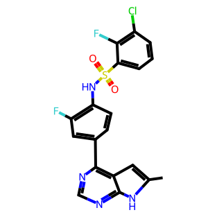 Cc1cc2c(-c3ccc(NS(=O)(=O)c4cccc(Cl)c4F)c(F)c3)ncnc2[nH]1